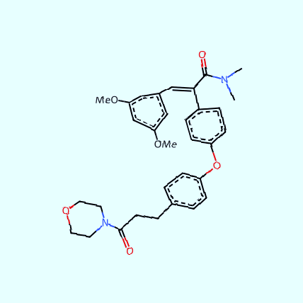 COc1cc(C=C(C(=O)N(C)C)c2ccc(Oc3ccc(CCC(=O)N4CCOCC4)cc3)cc2)cc(OC)c1